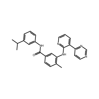 Cc1ccc(C(=O)Nc2cccc(C(C)C)c2)cc1Nc1ncccc1-c1ccncn1